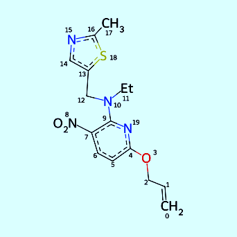 C=CCOc1ccc([N+](=O)[O-])c(N(CC)Cc2cnc(C)s2)n1